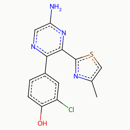 Cc1csc(-c2nc(N)cnc2-c2ccc(O)c(Cl)c2)n1